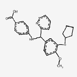 COc1ccc(C(Nc2ccc(C(=O)O)cc2)c2cccnn2)cc1OC1CCCC1